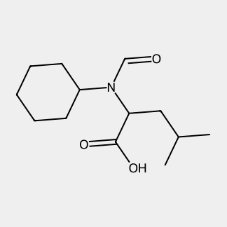 CC(C)CC(C(=O)O)N(C=O)C1CCCCC1